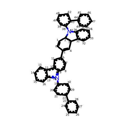 C1=CC2C(C=C1c1ccc3c(c1)c1ccccc1n3-c1ccc(-c3ccccc3)cc1)c1ccccc1N2c1ccccc1-c1ccccc1